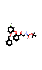 CC(C)(C)OC(=O)NCC(O)c1ccccc1Oc1cc(F)ccc1OCc1ccccc1